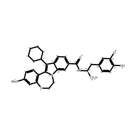 COc1ccc2c(c1)OCCn1c-2c(C2CCCCC2)c2ccc(C(=O)N[C@@H](Cc3ccc(O)c(Cl)c3)C(=O)O)cc21